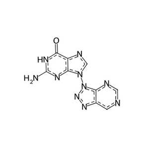 Nc1nc2c(ncn2-n2nnc3cncnc32)c(=O)[nH]1